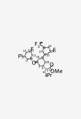 COC(=O)C(CC(C)C)c1cc(Oc2cc(F)cc(F)c2)cc(-c2cc(F)cc(C(F)(F)F)c2)c1